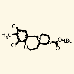 Cc1c(Cl)cc2c(c1Cl)OCCC1CN(C(=O)OC(C)(C)C)CCN1C2